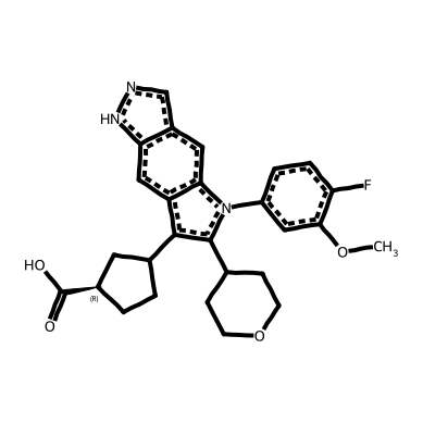 COc1cc(-n2c(C3CCOCC3)c(C3CC[C@@H](C(=O)O)C3)c3cc4[nH]ncc4cc32)ccc1F